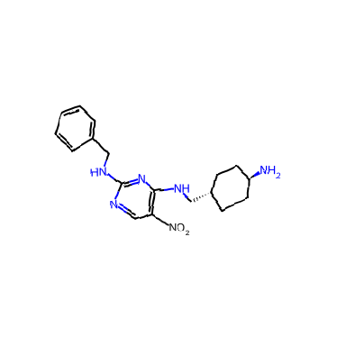 N[C@H]1CC[C@H](CNc2nc(NCc3ccccc3)ncc2[N+](=O)[O-])CC1